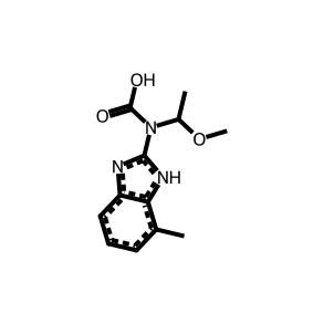 COC(C)N(C(=O)O)c1nc2cccc(C)c2[nH]1